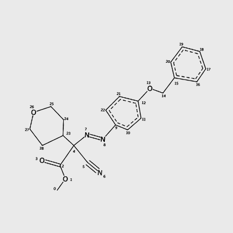 COC(=O)C(C#N)(/N=N/c1ccc(OCc2ccccc2)cc1)C1CCOCC1